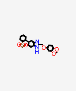 CS(=O)(=O)c1ccccc1-c1ccc2[nH]c(COc3ccc4c(c3)OCO4)nc2c1